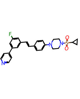 O=S(=O)(C1CC1)N1CCN(c2ccc(/C=C/c3cc(F)cc(-c4ccncc4)c3)cc2)CC1